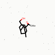 COC(=O)C12C[C]3CC(C)(CC(CO)(C3)C1)C2